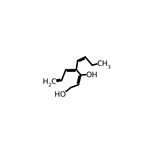 C=C/C=C(/C=C\CC)C(\O)=C/CO